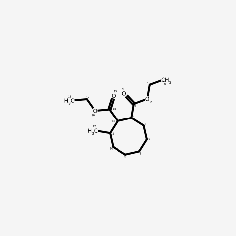 CCOC(=O)C1CCCCCC(C)C1C(=O)OCC